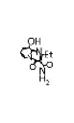 CCc1nc2c(O)cccn2c(=O)c1C(N)=O